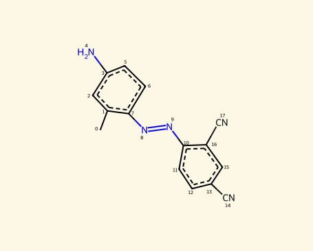 Cc1cc(N)ccc1N=Nc1ccc(C#N)cc1C#N